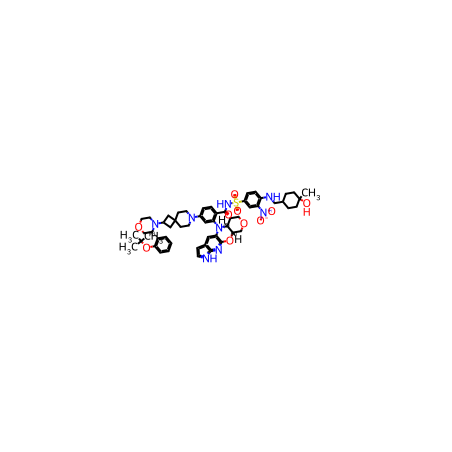 CC1(O)CCC(CNc2ccc(S(=O)(=O)NC(=O)c3ccc(N4CCC5(CC4)CC(N4CCOC[C@H]4c4ccccc4OC(C)(C)C)C5)cc3N3c4cc5cc[nH]c5nc4O[C@H]4COCC[C@@H]43)cc2[N+](=O)[O-])CC1